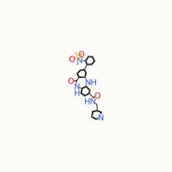 CN(c1ccccc1-c1ccc2c(c1)Nc1cc(C(=O)NCc3cccnc3)ccc1NC2=O)S(C)(=O)=O